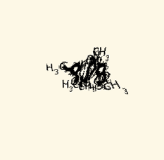 CCc1ccc(F)c(C(=O)NC(C(=O)N2CCC3(CC2)C(=O)N(C)CN3c2ccc(O[C@H](CC)C(=O)O)cc2)C(C)C)c1